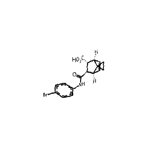 O=C(O)[C@H]1[C@H](C(=O)Nc2ccc(Br)cc2)[C@@H]2C=C[C@H]1C21CC1